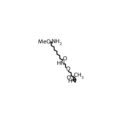 CO[C@@H](N)CCCCCCCC(=O)NCCOCCC(=O)[C@@]1(C)C2C[C@@H]21